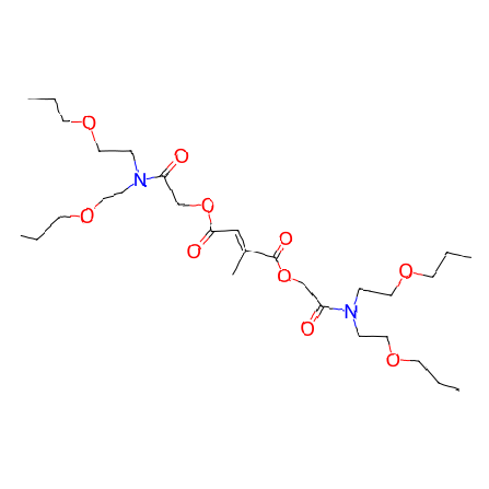 CCCOCCN(CCOCCC)C(=O)COC(=O)/C=C(\C)C(=O)OCC(=O)N(CCOCCC)CCOCCC